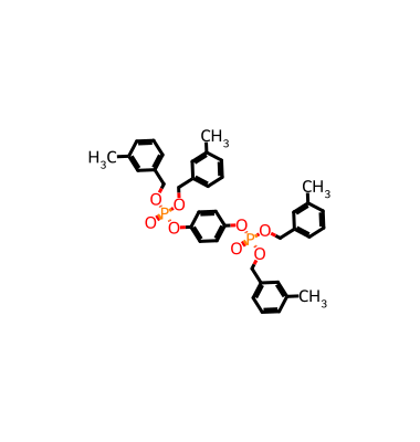 Cc1cccc(COP(=O)(OCc2cccc(C)c2)Oc2ccc(OP(=O)(OCc3cccc(C)c3)OCc3cccc(C)c3)cc2)c1